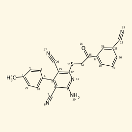 Cc1ccc(-c2c(C#N)c(N)nc(SCC(=O)c3cccc(C#N)c3)c2C#N)cc1